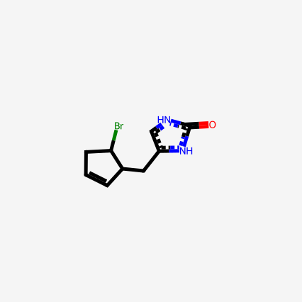 O=c1[nH]cc(CC2C=CCC2Br)[nH]1